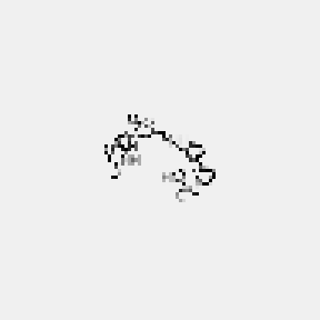 C[C@@H](Oc1cccc(-c2cccc(CNCCC3CN(c4ccc5c(n4)NC(=O)CO5)C(=O)O3)c2)n1)C1CCN1